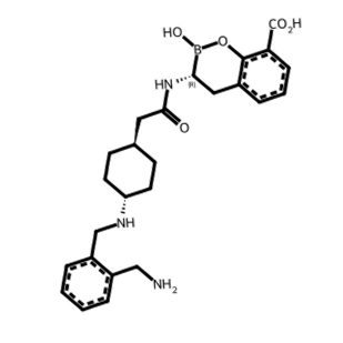 NCc1ccccc1CN[C@H]1CC[C@H](CC(=O)N[C@H]2Cc3cccc(C(=O)O)c3OB2O)CC1